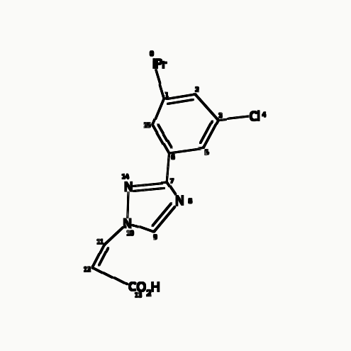 CC(C)c1cc(Cl)cc(-c2ncn(/C=C\C(=O)O)n2)c1